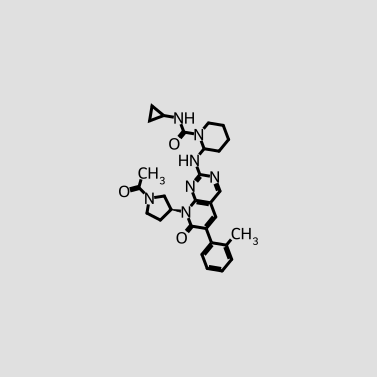 CC(=O)N1CC[C@H](n2c(=O)c(-c3ccccc3C)cc3cnc(NC4CCCCN4C(=O)NC4CC4)nc32)C1